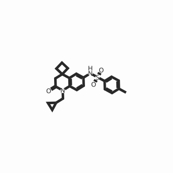 Cc1ccc(S(=O)(=O)Nc2ccc3c(c2)C2(CCC2)CC(=O)N3CC2CC2)cc1